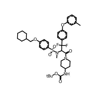 Cc1cccc(Oc2ccc(C(F)(F)C(C(=O)N3CCC(NC(=O)OC(C)(C)C)CC3)N(C)S(=O)(=O)c3ccc(OCC4CCCCC4)cc3)cc2)c1